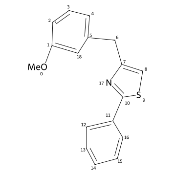 COc1[c]ccc(Cc2csc(-c3ccccc3)n2)c1